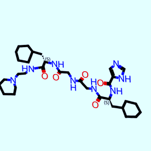 O=C(CNC(=O)[C@H](CC1CCCCC1)NC(=O)c1cnc[nH]1)NCC(=O)N[C@@H](CC1CCCCC1)C(=O)NCCN1CCCCC1